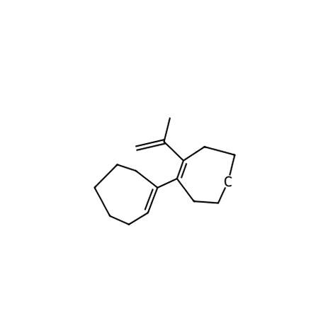 C=C(C)C1=C(C2=CCCCCC2)CCCCC1